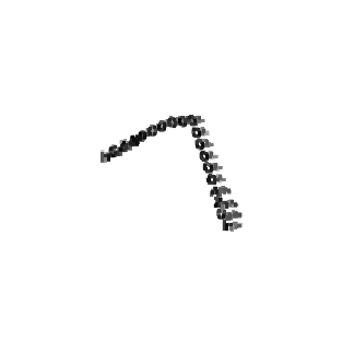 [Al+3].[Al+3].[Ga+3].[Ga+3].[In+3].[In+3].[O-2].[O-2].[O-2].[O-2].[O-2].[O-2].[O-2].[O-2].[O-2].[O-2].[O-2].[Zn+2].[Zn+2]